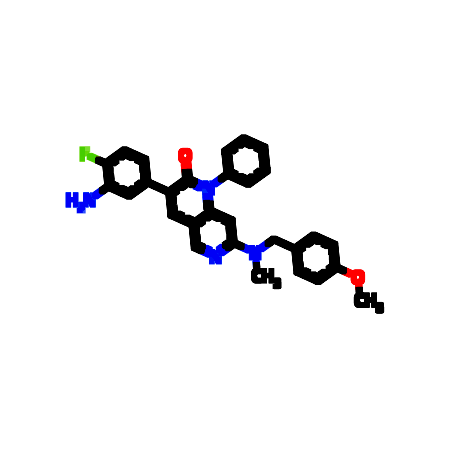 COc1ccc(CN(C)c2cc3c(cn2)cc(-c2ccc(F)c(N)c2)c(=O)n3-c2ccccc2)cc1